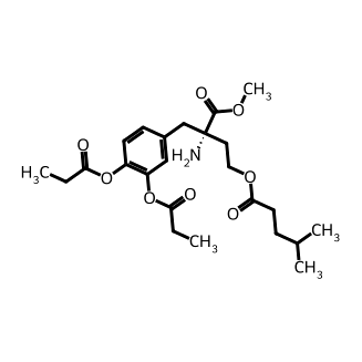 CCC(=O)Oc1ccc(C[C@](N)(CCOC(=O)CCC(C)C)C(=O)OC)cc1OC(=O)CC